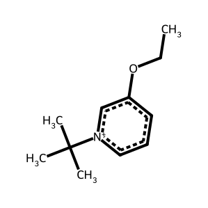 CCOc1ccc[n+](C(C)(C)C)c1